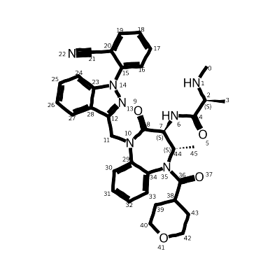 CN[C@@H](C)C(=O)N[C@@H]1C(=O)N(Cc2nn(-c3ccccc3C#N)c3ccccc23)c2ccccc2N(C(=O)C2CCOCC2)[C@H]1C